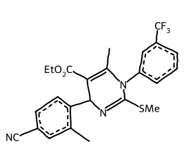 CCOC(=O)C1=C(C)N(c2cccc(C(F)(F)F)c2)C(SC)=NC1c1ccc(C#N)cc1C